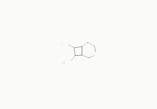 CC1C(C)C2COCCC12